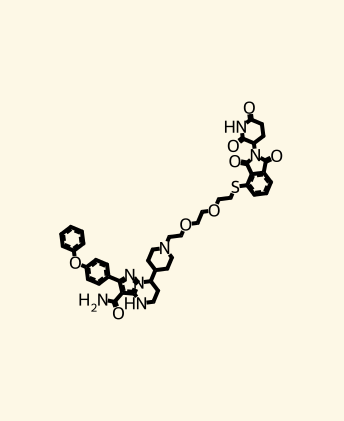 NC(=O)c1c(-c2ccc(Oc3ccccc3)cc2)nn2c1NCCC2C1CCN(CCOCCOCCSc2cccc3c2C(=O)N(C2CCC(=O)NC2=O)C3=O)CC1